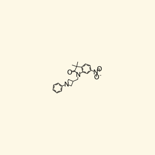 CC1(C)C(=O)N(CC2CN(c3ccccc3)C2)c2cc([N+](=O)[O-])ccc21